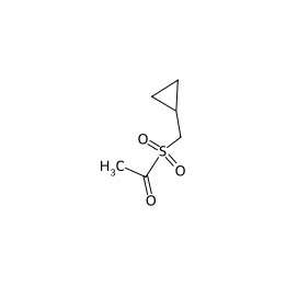 CC(=O)S(=O)(=O)CC1CC1